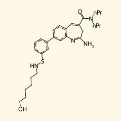 CCCN(CCC)C(=O)C1=Cc2ccc(-c3cccc(SNCCCCCCO)c3)cc2N=C(N)C1